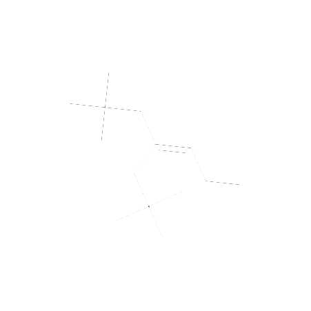 CCC=C([C]C(C)(C)C)CC(C)(C)C